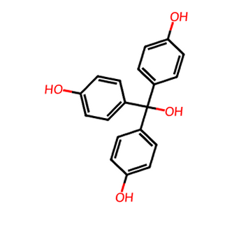 Oc1ccc(C(O)(c2ccc(O)cc2)c2ccc(O)cc2)cc1